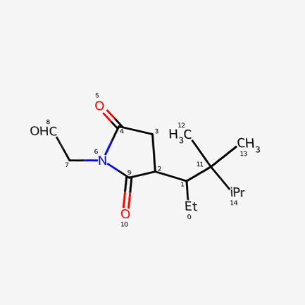 CCC(C1CC(=O)N(CC=O)C1=O)C(C)(C)C(C)C